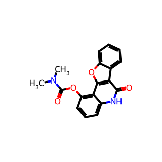 CN(C)C(=O)Oc1cccc2[nH]c(=O)c3c4ccccc4oc3c12